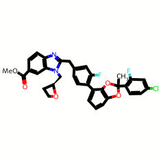 COC(=O)c1ccc2nc(Cc3ccc(-c4cccc5c4OC(C)(c4ccc(Cl)cc4F)O5)c(F)c3)n(C[C@@H]3CCO3)c2c1